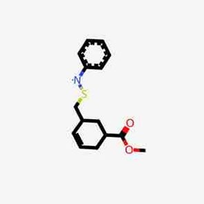 COC(=O)C1CC=CC(CS[N]c2ccccc2)C1